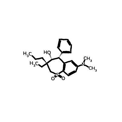 CCC[C@]1(CC)CS(=O)(=O)c2ccc(N(C)C)cc2[C@@H](c2ccccc2)[C@H]1O